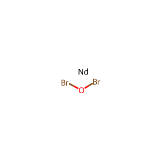 BrOBr.[Nd]